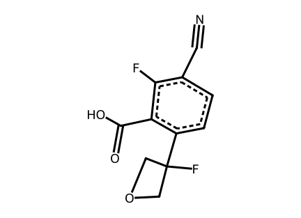 N#Cc1ccc(C2(F)COC2)c(C(=O)O)c1F